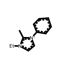 CCn1cc[n+](-c2ccccc2)c1C